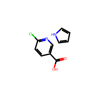 O=C(O)c1ccc(Cl)nc1.c1cc[nH]c1